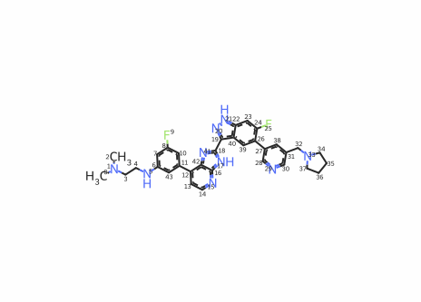 CN(C)CCNc1cc(F)cc(-c2ccnc3[nH]c(-c4n[nH]c5cc(F)c(-c6cncc(CN7CCCC7)c6)cc45)nc23)c1